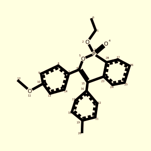 CCOP1(=O)OC(c2ccc(OC)cc2)=C(c2ccc(C)cc2)c2ccccc21